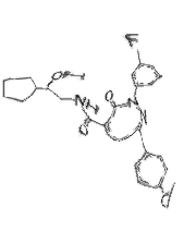 O=C(NC[C@H](O)C1CCCC1)c1cc(-c2ccc(Cl)cc2)nn(-c2cccc(F)c2)c1=O